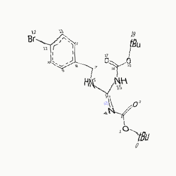 CC(C)(C)OC(=O)/N=C(/NCc1ccc(Br)cc1)NC(=O)OC(C)(C)C